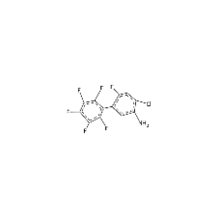 Nc1cc(-c2c(F)c(F)c(F)c(F)c2F)c(F)cc1Cl